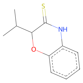 CC(C)C1Oc2ccccc2NC1=S